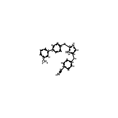 Cc1cccc(-c2ccc(Cc3ncc(Cc4ccc(C#N)cc4)[nH]3)cc2)c1